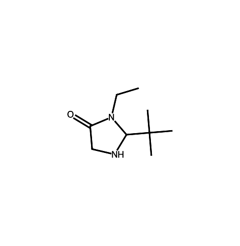 CCN1C(=O)CNC1C(C)(C)C